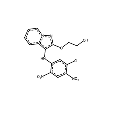 O=[N+]([O-])c1cc([N+](=O)[O-])c(Nc2c(OCCO)nn3ccccc23)cc1Cl